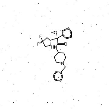 O=C(NC1CCN(Cc2ccccc2)CC1)[C@](O)(c1ccccc1)[C@@H]1CCC(F)(F)C1